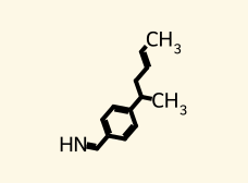 C/C=C/CC(C)c1ccc(C=N)cc1